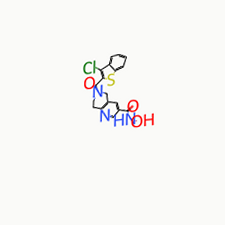 O=C(NO)c1cnc2c(c1)CN(C(=O)c1sc3ccccc3c1Cl)CC2